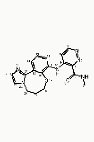 CNC(=O)c1nnccc1Nc1cccc2c1OCCCn1cnnc1-2